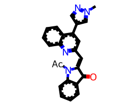 CC(=O)N1/C(=C\c2cc(-c3cnn(C)c3)c3ccccc3n2)C(=O)c2ccccc21